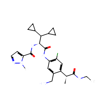 CC(C)n1nccc1C(=O)N[C@H](C(=O)Nc1cc(CN)c([C@H](C)C(=O)NCC(F)(F)F)cc1F)C(C1CC1)C1CC1